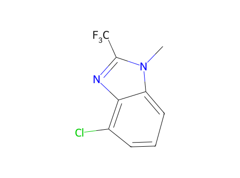 Cn1c(C(F)(F)F)nc2c(Cl)cccc21